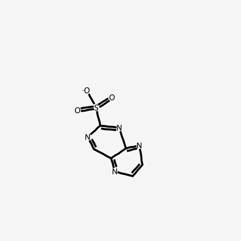 [O]S(=O)(=O)c1ncc2nccnc2n1